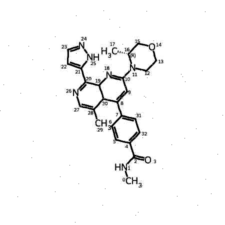 CNC(=O)c1ccc(C2=CC(N3CCOC[C@H]3C)=NC3C(c4ccn[nH]4)=NC=C(C)C23)cc1